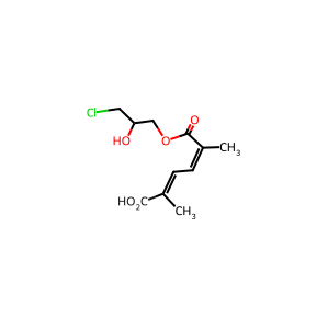 CC(=CC=C(C)C(=O)OCC(O)CCl)C(=O)O